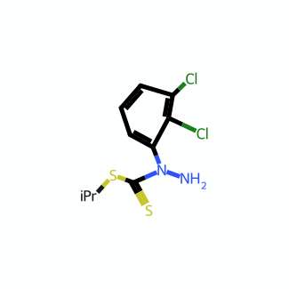 CC(C)SC(=S)N(N)c1cccc(Cl)c1Cl